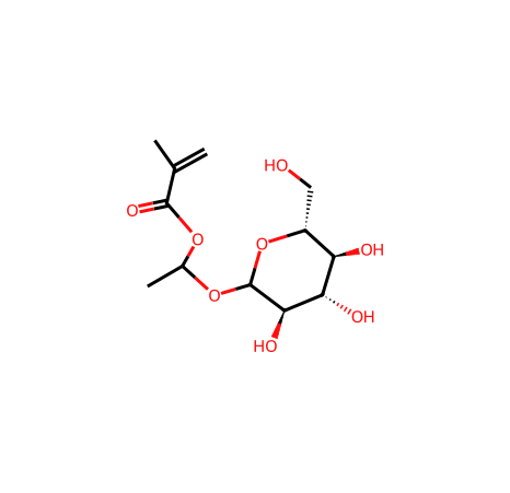 C=C(C)C(=O)OC(C)OC1O[C@H](CO)[C@@H](O)[C@H](O)[C@H]1O